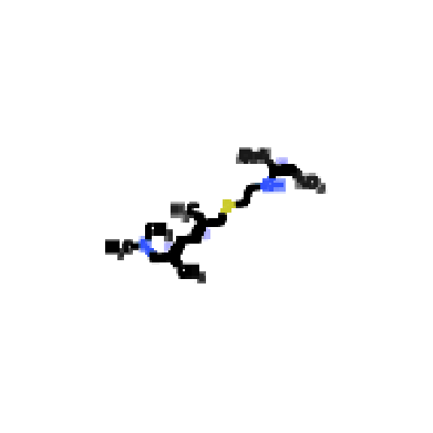 CN/C(=C/[N+](=O)[O-])NCCSC/C(C)=C/C=C(\C)CN(C)C